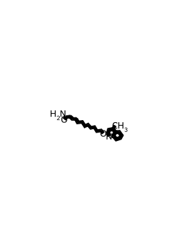 Cc1cc(OCCCCCCCC=CC=CC(N)=O)nc2ccccc12